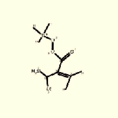 CCC([SiH3])C(C(=O)OO[Si](C)(C)C)=C(C)C